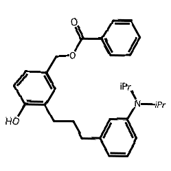 CC(C)N(c1cccc(CCCc2cc(COC(=O)c3ccccc3)ccc2O)c1)C(C)C